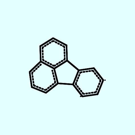 [c]1c[c]c2c(c1)-c1cccc3cccc-2c13